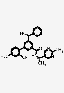 Cc1ccc(-c2cc(C(=O)N[C@H](C)c3cnc(C)nc3)cc(C(O)c3ccccc3)c2)c(C#N)c1